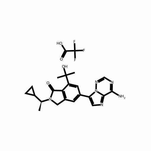 C[C@@H](C1CC1)N1Cc2cc(-c3cnc4c(N)ncnn34)cc(C(C)(C)O)c2C1=O.O=C(O)C(F)(F)F